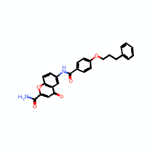 NC(=O)c1cc(=O)c2cc(NC(=O)c3ccc(OCCCc4ccccc4)cc3)ccc2o1